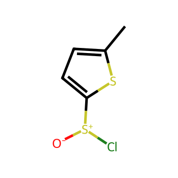 Cc1ccc([S+]([O-])Cl)s1